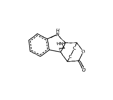 O=C1OC2CCC1[C@]13CCNC21Nc1ccccc13